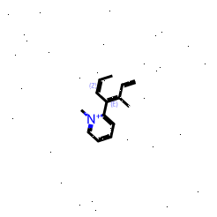 C=C/C(C)=C(\C=C/C)c1cccc[n+]1C